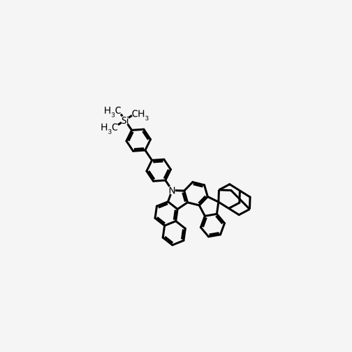 C[Si](C)(C)c1ccc(-c2ccc(-n3c4ccc5c(c4c4c6ccccc6ccc43)-c3ccccc3C53C4CC5CC(C4)CC3C5)cc2)cc1